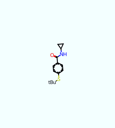 CC(C)(C)Sc1ccc(C(=O)NC2CC2)cc1